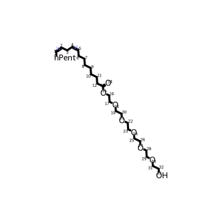 CCCCC/C=C\C/C=C\CCCCCCCC(=O)OCCOCCOCCOCCOCCOCCO